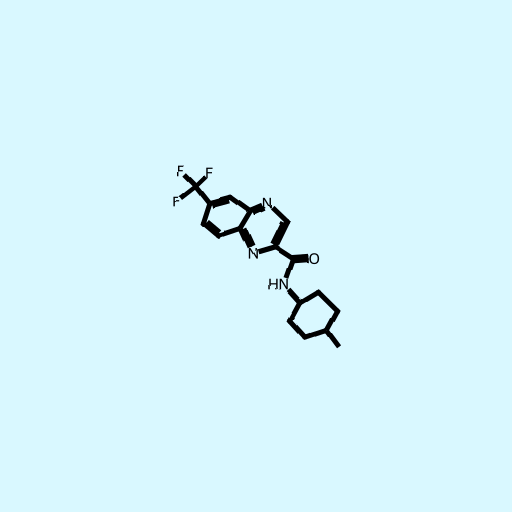 CC1CCC(NC(=O)c2cnc3cc(C(F)(F)F)ccc3n2)CC1